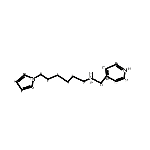 c1ccn(CCCCCCNCc2ccncc2)c1